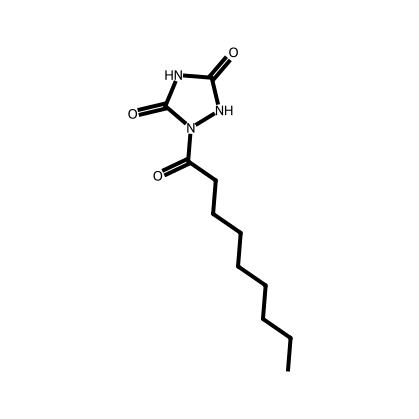 CCCCCCCCC(=O)n1[nH]c(=O)[nH]c1=O